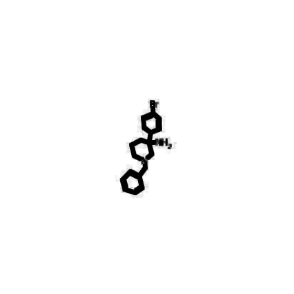 NC1(C2C=CC(Br)=CC2)CCCN(Cc2ccccc2)C1